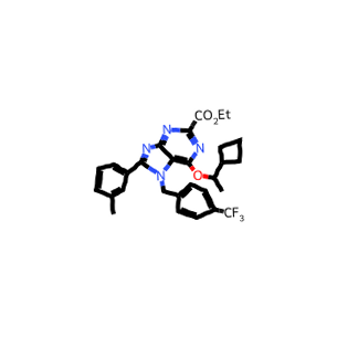 CCOC(=O)c1nc(OC(C)C2CCC2)c2c(n1)nc(-c1cccc(C)c1)n2Cc1ccc(C(F)(F)F)cc1